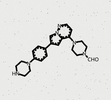 O=CN1CCN(c2ccnn3cc(-c4ccc(N5CCNCC5)cc4)cc23)CC1